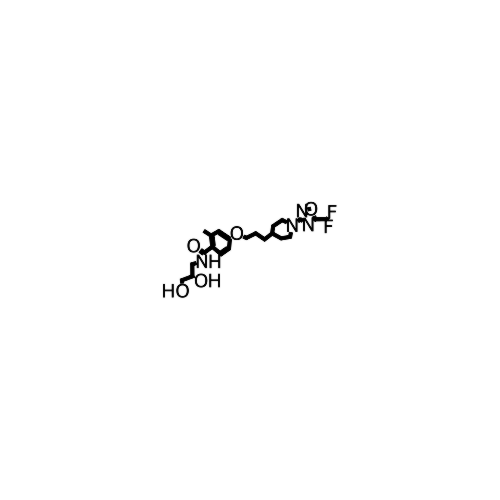 Cc1cc(OCCCC2CCN(c3noc(C(F)F)n3)CC2)ccc1C(=O)NC[C@H](O)CO